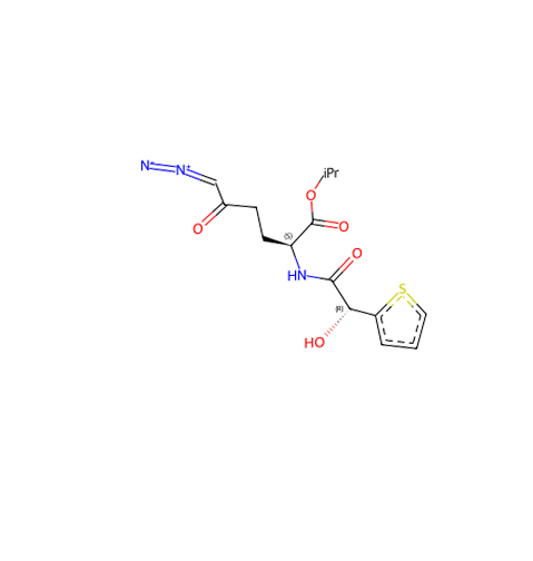 CC(C)OC(=O)[C@H](CCC(=O)C=[N+]=[N-])NC(=O)[C@@H](O)c1cccs1